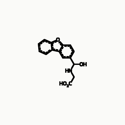 O=C(O)CNC(O)c1ccc2oc3ccccc3c2c1